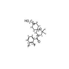 CC1(C)CN(C(=O)c2cccc(F)c2F)CC2(CCN(C(=O)O)CC2)O1